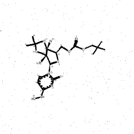 CC(C)(C)COC(=O)OC[C@H]1O[C@@H](n2ccc(NO)nc2=O)[C@@H]2OC(C)(C)O[C@@H]21